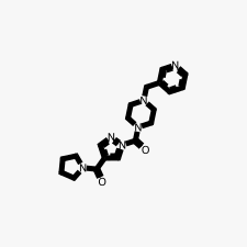 O=C(c1cnn(C(=O)N2CCN(Cc3cccnc3)CC2)c1)N1CCCC1